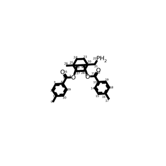 Cc1ccc(C(=O)OC2C(OC(=O)c3ccc(C)cc3)C3(CP)CCC2(C)CC3)cc1